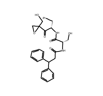 CC(C)C[C@H](NC(=O)[C@H](CO)NC(=O)CC(c1ccccc1)c1ccccc1)C(=O)C1(CO)CO1